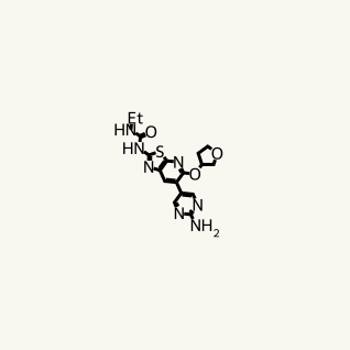 CCNC(=O)Nc1nc2cc(-c3cnc(N)nc3)c(OC3CCOC3)nc2s1